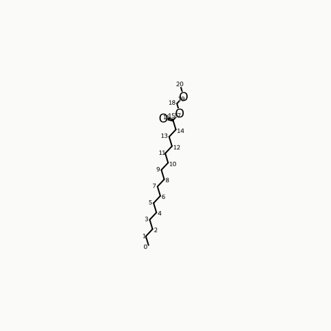 CCCCCCCCCCCCCCCC(=O)OCOC